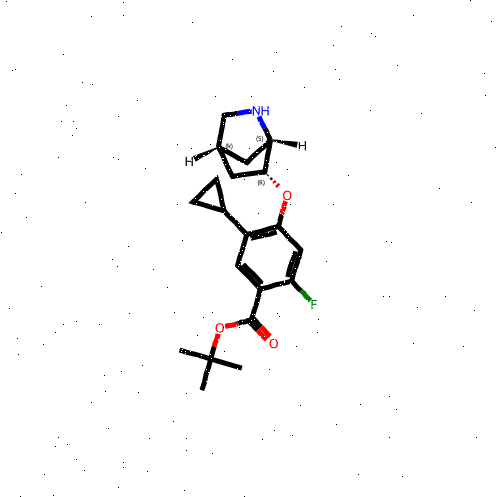 CC(C)(C)OC(=O)c1cc(C2CC2)c(O[C@@H]2C[C@@H]3CN[C@H]2C3)cc1F